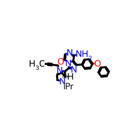 CC#CC(=O)N1C2C[C@@H](C1c1nc(-c3ccc(Oc4ccccc4)cc3)c3c(N)nccn13)N(C(C)C)C2